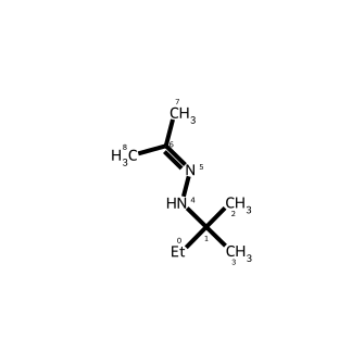 CCC(C)(C)NN=C(C)C